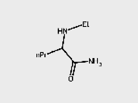 CCCC(NCC)C(N)=O